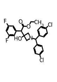 CCOC(=O)C(c1cc(F)cc(F)c1)C1(O)CN(C(c2ccc(Cl)cc2)c2ccc(Cl)cc2)C1